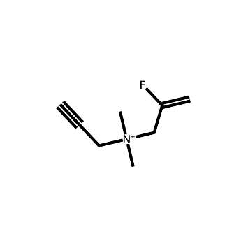 C#CC[N+](C)(C)CC(=C)F